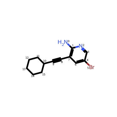 Nc1ncc(Br)cc1C#CC1CCCCC1